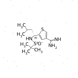 CC(C)C[C@@H](N[S+]([O-])C(C)(C)C)c1cc(C(=N)N)cs1